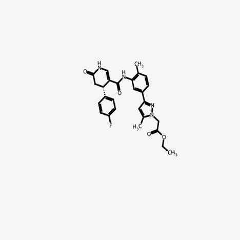 CCOC(=O)Cn1nc(-c2ccc(C)c(NC(=O)C3=CNC(=O)C[C@H]3c3ccc(F)cc3)c2)cc1C